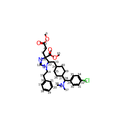 COC(=O)CCC1(C(=O)OC)N=CN(CCc2ccccc2)C1CC1CCC(C(c2ccc(Cl)cc2)N(C)C)CC1